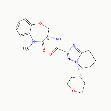 CN1C(=O)[C@@H](NC(=O)c2nc3n(n2)[C@@H](C2CCOCC2)CCC3)COc2ccccc21